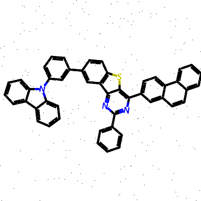 c1ccc(-c2nc(-c3ccc4c(ccc5ccccc54)c3)c3sc4ccc(-c5cccc(-n6c7ccccc7c7ccccc76)c5)cc4c3n2)cc1